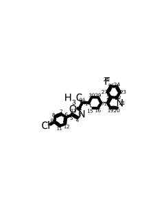 C[C@@H](c1ncc(-c2ccc(Cl)cc2)o1)[C@H]1CC[C@@H](c2ccnc3ccc(F)cc32)CC1